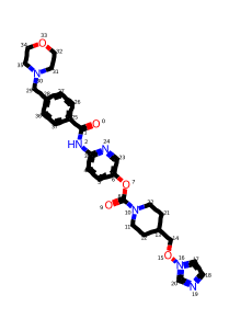 O=C(Nc1ccc(OC(=O)N2CCC(COn3ccnc3)CC2)cn1)c1ccc(CN2CCOCC2)cc1